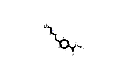 CC/C=C/CCc1ccc(C(=O)OF)cc1